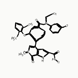 CCNC(=O)c1cc2c(-c3ccc(C(=O)N(CC#N)c4cccc(Cl)c4)cc3Oc3c(C)cccc3C)cn(C)c(=O)c2[nH]1